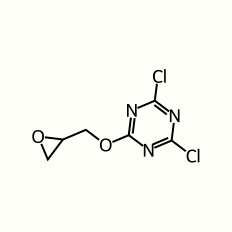 Clc1nc(Cl)nc(OCC2CO2)n1